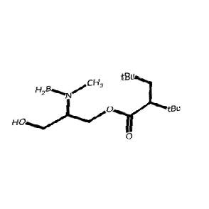 BN(C)C(CO)COC(=O)C(CC(C)(C)C)C(C)(C)C